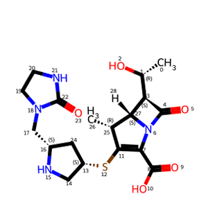 C[C@@H](O)[C@H]1C(=O)N2C(C(=O)O)=C(S[C@@H]3CN[C@H](CN4CCNC4=O)C3)[C@H](C)[C@H]12